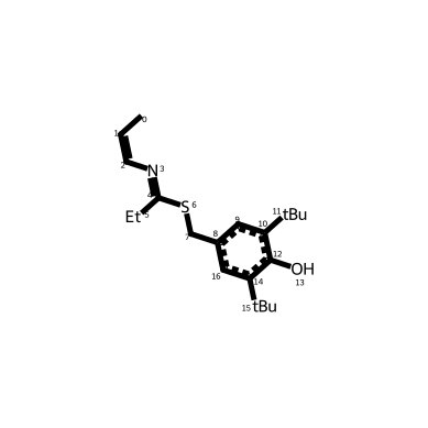 C/C=C\N=C(/CC)SCc1cc(C(C)(C)C)c(O)c(C(C)(C)C)c1